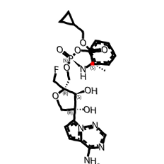 C[C@H](N[P@](=O)(OC[C@@]1(CF)OC[C@](O)(c2ccc3c(N)ncnn23)[C@@H]1O)Oc1ccccc1)C(=O)OCC1CC1